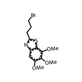 COc1cc2nc(CCCBr)sc2c(OC)c1OC